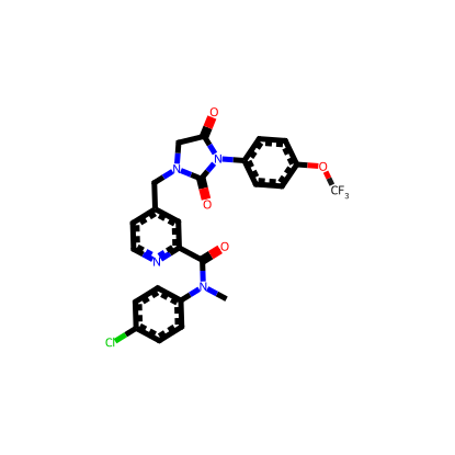 CN(C(=O)c1cc(CN2CC(=O)N(c3ccc(OC(F)(F)F)cc3)C2=O)ccn1)c1ccc(Cl)cc1